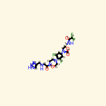 O=C(NC[C@H]1CN(c2cc(F)c(N3CCON(C(=O)CNCc4c[nH]nn4)CC3)c(F)c2)C(=O)O1)C(F)F